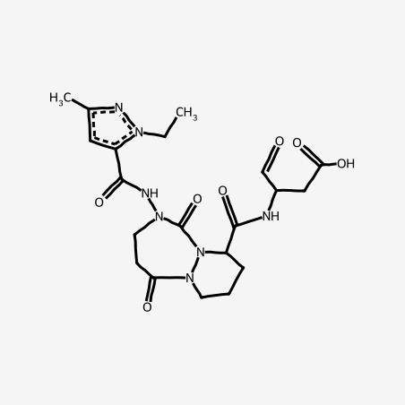 CCn1nc(C)cc1C(=O)NN1CCC(=O)N2CCCC(C(=O)NC(C=O)CC(=O)O)N2C1=O